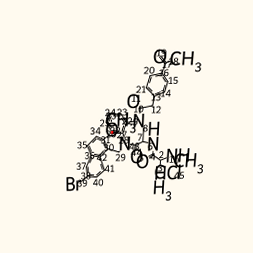 CNC(C)C(=O)NC1CN(C(=O)Cc2ccc(C(C)=O)cc2)c2ccccc2N(Cc2c(OC)ccc3cc(Br)ccc23)C1=O.Cl